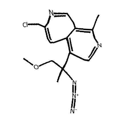 COCC(C)(N=[N+]=[N-])c1cnc(C)c2cnc(Cl)cc12